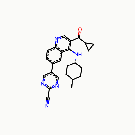 C[C@H]1CC[C@H](Nc2c(C(=O)C3CC3)cnc3ccc(-c4cnc(C#N)nc4)cc23)CC1